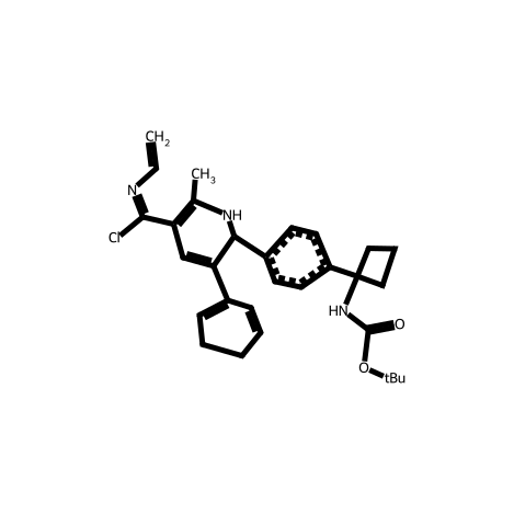 C=C/N=C(/Cl)C1=C(C)NC(c2ccc(C3(NC(=O)OC(C)(C)C)CCC3)cc2)C(C2=CCCC=C2)=C1